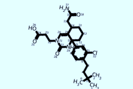 CC(C)(C)CCc1ccc(C23CCCC(CC(N)=O)C2=CN(CCC(=O)O)C(=O)N3)cc1Cl